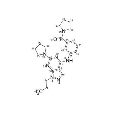 CCCn1ncc2c(Nc3cccc(C(=O)N4CCCC4)c3)nc(N3CCCC3)nc21